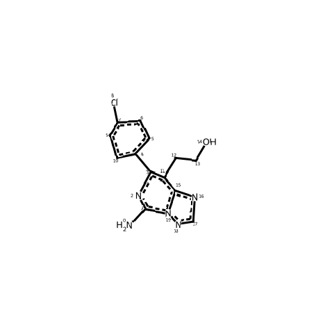 Nc1nc(-c2ccc(Cl)cc2)c(CCO)c2ncnn12